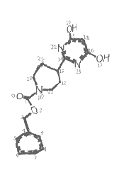 O=C(OCc1ccccc1)N1CCC(c2nc(O)cc(O)n2)CC1